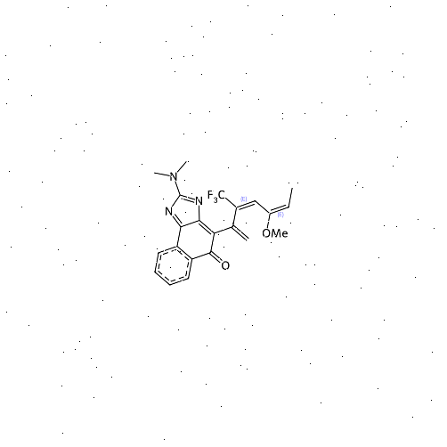 C=C(C1=C2N=C(N(C)C)N=C2c2ccccc2C1=O)/C(=C\C(=C/C)OC)C(F)(F)F